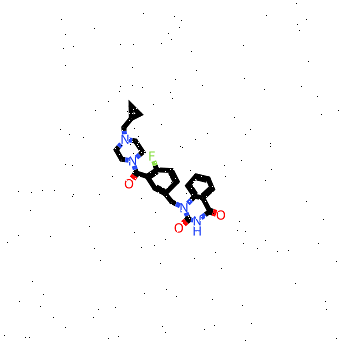 O=C(c1cc(Cn2c(=O)[nH]c(=O)c3ccccc32)ccc1F)N1CCN(CC2CC2)CC1